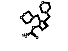 NC(=O)OC1SC=C(CN2CCOCC2)N1CN1CCOCC1